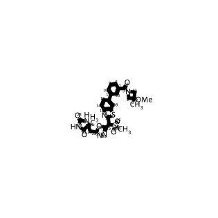 COC1(C)CN(C(=O)c2cccc(-c3ccc4nc(C(c5nnc(CC6(C)NC(=O)NC6=O)o5)S(C)(=O)=O)sc4c3)c2)C1